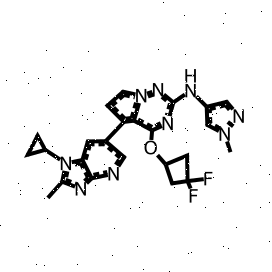 Cc1nc2ncc(-c3ccn4nc(Nc5cnn(C)c5)nc(OC5CC(F)(F)C5)c34)cc2n1C1CC1